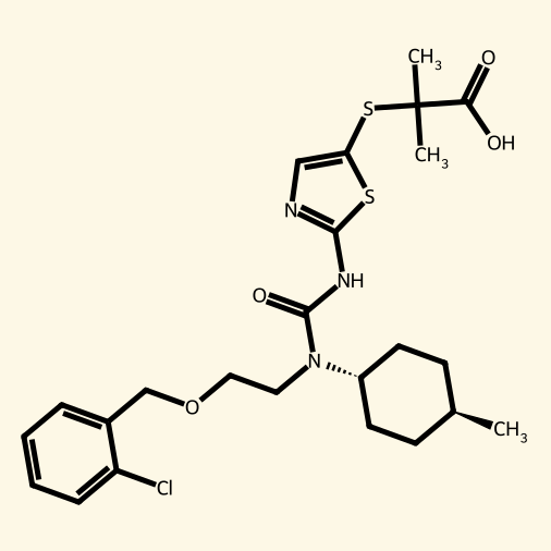 CC(C)(Sc1cnc(NC(=O)N(CCOCc2ccccc2Cl)[C@H]2CC[C@H](C)CC2)s1)C(=O)O